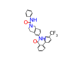 O=C(Nc1ccc2c(c1)CCN(C(=O)Nc1ccccc1)C2)c1ccccc1-c1ccc(C(F)(F)F)cc1